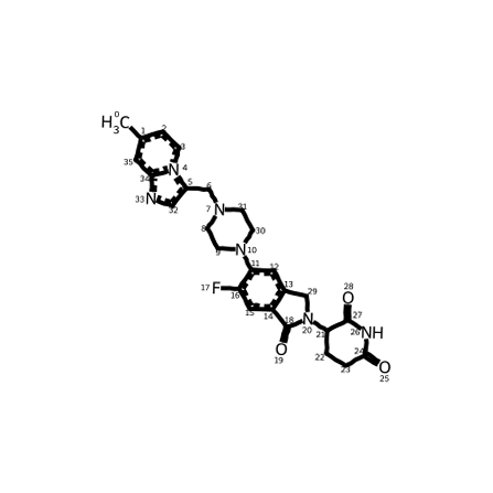 Cc1ccn2c(CN3CCN(c4cc5c(cc4F)C(=O)N(C4CCC(=O)NC4=O)C5)CC3)cnc2c1